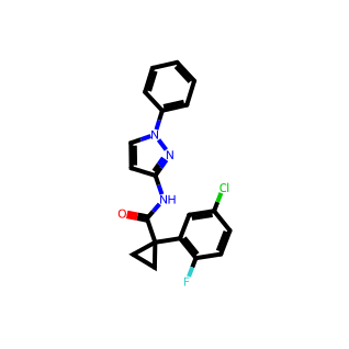 O=C(Nc1ccn(-c2ccccc2)n1)C1(c2cc(Cl)ccc2F)CC1